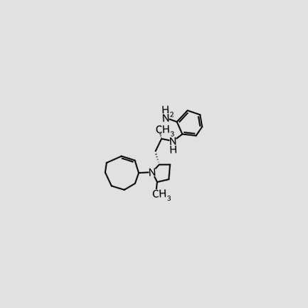 CC1CC[C@@H](C[C@H](C)Nc2ccccc2N)N1C1/C=C\CCCCC1